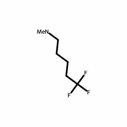 CNCCCCC(F)(F)F